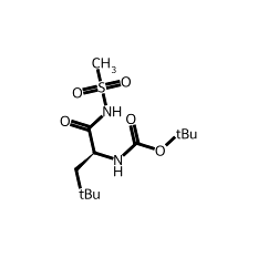 CC(C)(C)C[C@H](NC(=O)OC(C)(C)C)C(=O)NS(C)(=O)=O